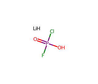 O=P(O)(F)Cl.[LiH]